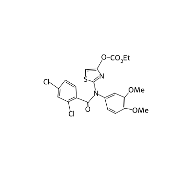 CCOC(=O)Oc1csc(N(C(=O)c2ccc(Cl)cc2Cl)c2ccc(OC)c(OC)c2)n1